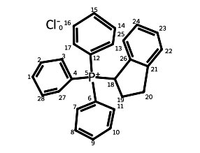 [Cl-].c1ccc([P+](c2ccccc2)(c2ccccc2)C2CCc3ccccc32)cc1